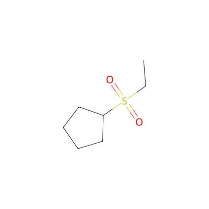 CCS(=O)(=O)C1CCCC1